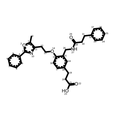 Cc1oc(-c2ccccc2)nc1CCOc1ccc(CCC(=O)O)cc1CNC(=O)CCc1ccccc1